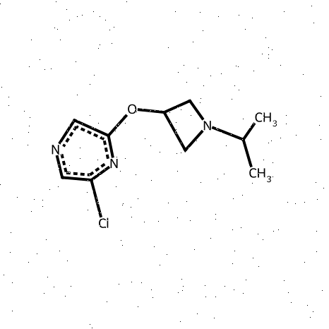 CC(C)N1CC(Oc2cncc(Cl)n2)C1